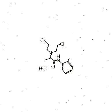 Cc1ccccc1NC(=O)C(C)N(CCCl)CCCl.Cl